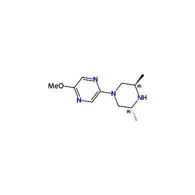 COc1cnc(N2C[C@@H](C)N[C@H](C)C2)cn1